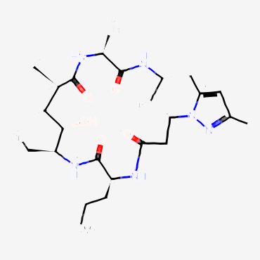 CSCC[C@H](NC(=O)CCn1nc(C)cc1C)C(=O)N[C@@H](CC(C)C)[C@@H](O)C[C@@H](C)C(=O)N[C@H](C(=O)NCC(C)C)C(C)C